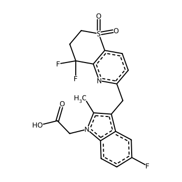 Cc1c(Cc2ccc3c(n2)C(F)(F)CCS3(=O)=O)c2cc(F)ccc2n1CC(=O)O